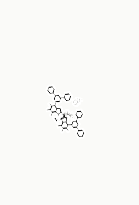 CCCCC1=Cc2c(-c3cc(-c4ccccc4)cc(-c4ccccc4)c3)c(C)c(C)c(C)c2[CH]1[Zr+2]1([CH]2C(CCCC)=Cc3c(-c4cc(-c5ccccc5)cc(-c5ccccc5)c4)c(C)c(C)c(C)c32)[CH2][CH2]1.[Cl-].[Cl-]